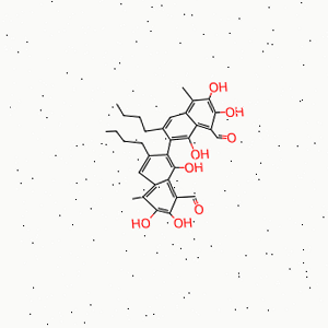 CCCCc1cc2c(C)c(O)c(O)c(C=O)c2c(O)c1-c1c(CCCC)cc2c(C)c(O)c(O)c(C=O)c2c1O